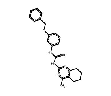 Cc1nc(NC(=N)Nc2cccc(OCc3ccccc3)c2)nc2c1CCCC2